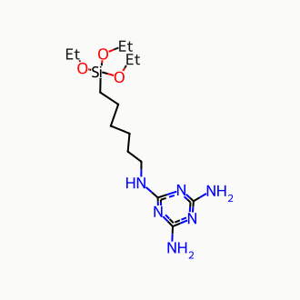 CCO[Si](CCCCCCNc1nc(N)nc(N)n1)(OCC)OCC